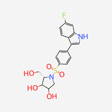 O=S(=O)(c1ccc(-c2c[nH]c3cc(F)ccc23)cc1)N1CC(O)C(O)[C@@H]1CO